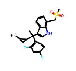 CC(c1ccc(F)cc1F)(c1c[nH]c2c(CS(C)(=O)=O)cccc12)C1CC1C#N